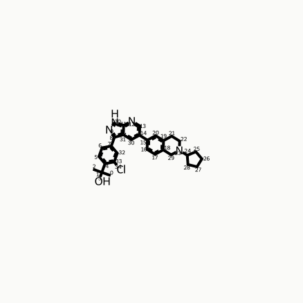 CC(C)(O)c1ccc(-c2n[nH]c3ncc(-c4ccc5c(c4)CCN(C4CCCC4)C5)cc23)cc1Cl